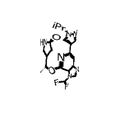 CC(C)n1cc(-c2cc3ncn(C(F)F)c3c(O[C@H](C)C3CNC(=O)C3)n2)cn1